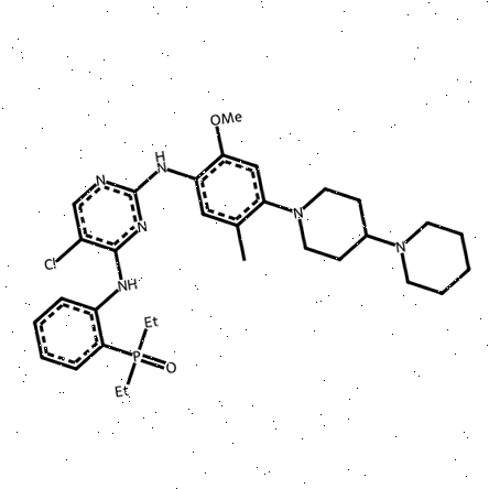 CCP(=O)(CC)c1ccccc1Nc1nc(Nc2cc(C)c(N3CCC(N4CCCCC4)CC3)cc2OC)ncc1Cl